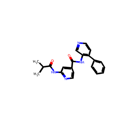 CC(C)C(=O)Nc1cc(C(=O)Nc2cnccc2-c2ccccc2)ccn1